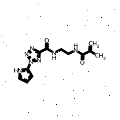 C=C(C)C(=O)NCCNC(=O)c1nnn(-c2ccc[nH]2)n1